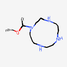 CCCCOC(CC)N1CCNCCNCCNCC1